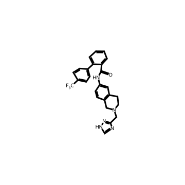 O=C(Nc1ccc2c(c1)CCN(Cc1nc[nH]n1)C2)c1ccccc1-c1ccc(C(F)(F)F)cc1